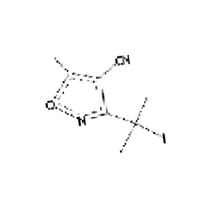 Cc1onc(C(C)(C)I)c1C#N